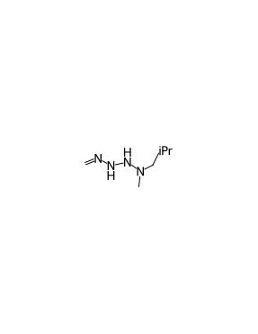 C=NNNN(C)CC(C)C